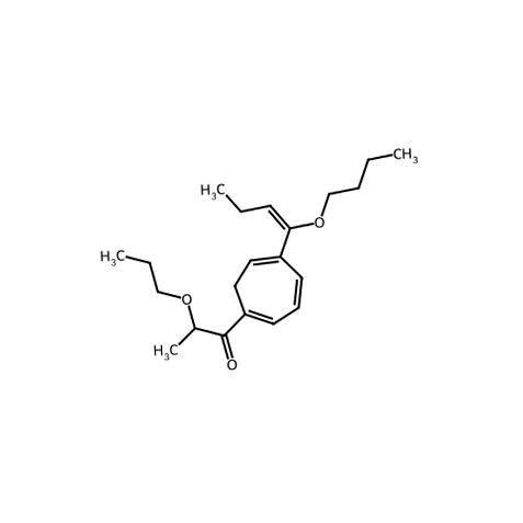 CC/C=C(/OCCCC)C1=CCC(C(=O)C(C)OCCC)=CC=C1